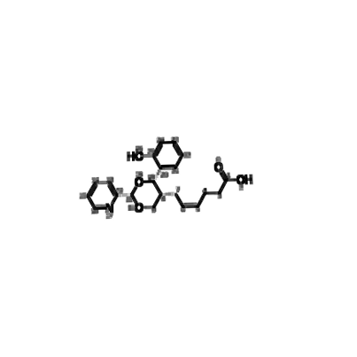 O=C(O)CC/C=C\C[C@@H]1CO[C@H](c2ccccn2)O[C@@H]1c1ccccc1O